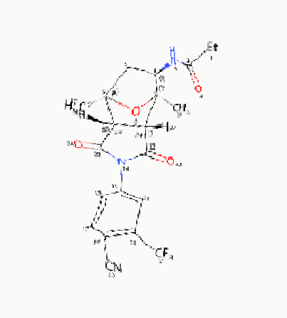 CCC(=O)N[C@@H]1C[C@@]2(C)O[C@]1(C)[C@@H]1C(=O)N(c3ccc(C#N)c(C(F)(F)F)c3)C(=O)[C@@H]12